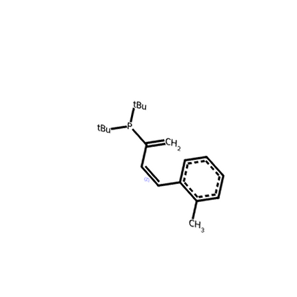 C=C(/C=C\c1ccccc1C)P(C(C)(C)C)C(C)(C)C